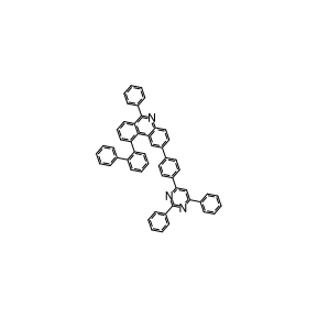 c1ccc(-c2cc(-c3ccc(-c4ccc5nc(-c6ccccc6)c6cccc(-c7ccccc7-c7ccccc7)c6c5c4)cc3)nc(-c3ccccc3)n2)cc1